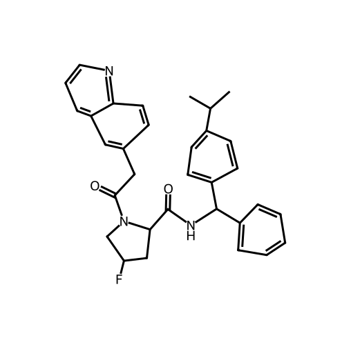 CC(C)c1ccc(C(NC(=O)C2CC(F)CN2C(=O)Cc2ccc3ncccc3c2)c2ccccc2)cc1